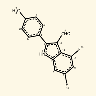 Cc1ccc(-c2[nH]c3cc(F)cc(F)c3c2C=O)cc1